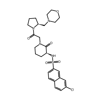 O=C1[C@@H](NS(=O)(=O)c2ccc3ccc(Cl)cc3c2)CCCN1CC(=O)N1CCC[C@H]1CN1CCOCC1